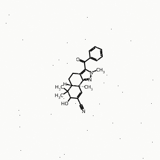 Cn1nc2c(c1C(=O)c1ccccc1)CC[C@H]1C(C)(C)C(O)C(C#N)=C[C@]21C